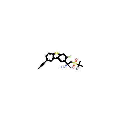 CC#Cc1ccc2sc3cc(F)c([C@@](C)(N)CS(=O)(=O)C(C)(C)C#N)cc3c2c1